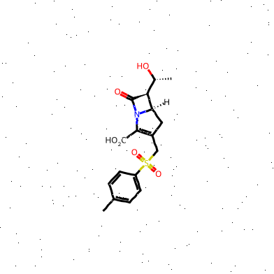 Cc1ccc(S(=O)(=O)CC2=C(C(=O)O)N3C(=O)[C@@H]([C@@H](C)O)[C@H]3C2)cc1